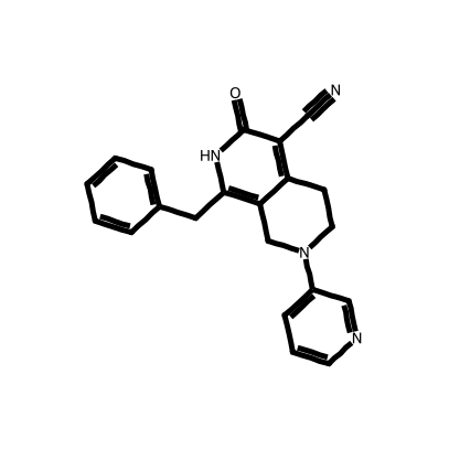 N#Cc1c2c(c(Cc3ccccc3)[nH]c1=O)CN(c1cccnc1)CC2